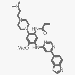 C=CC(=O)Nc1cc(Nc2cc(-c3ccc4ncsc4c3)ncn2)c(OC)cc1N1CCN(CCN(C)C)CC1